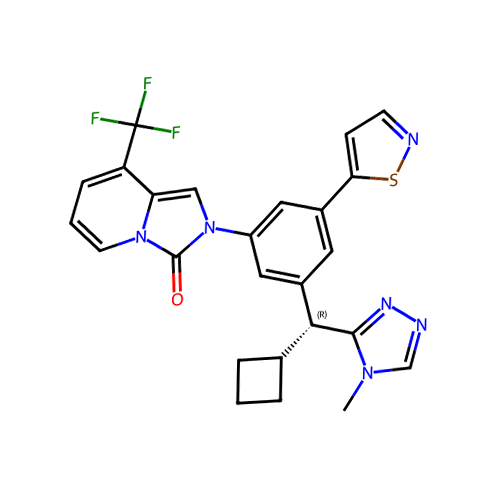 Cn1cnnc1[C@@H](c1cc(-c2ccns2)cc(-n2cc3c(C(F)(F)F)cccn3c2=O)c1)C1CCC1